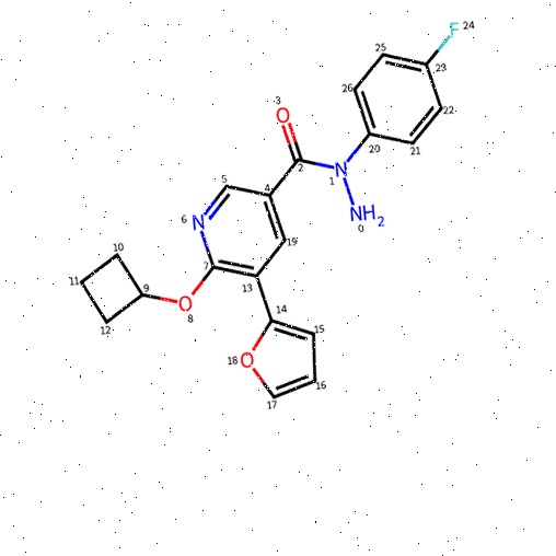 NN(C(=O)c1cnc(OC2CCC2)c(-c2ccco2)c1)c1ccc(F)cc1